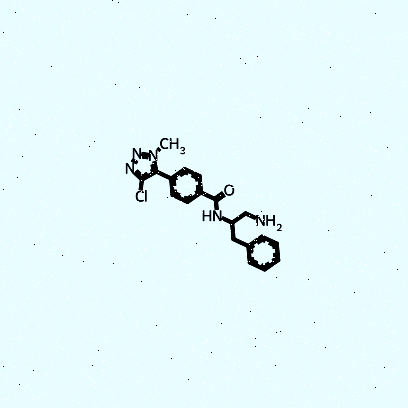 Cn1nnc(Cl)c1-c1ccc(C(=O)NC(CN)Cc2ccccc2)cc1